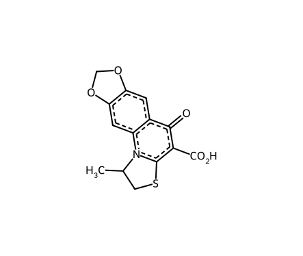 CC1CSc2c(C(=O)O)c(=O)c3cc4c(cc3n21)OCO4